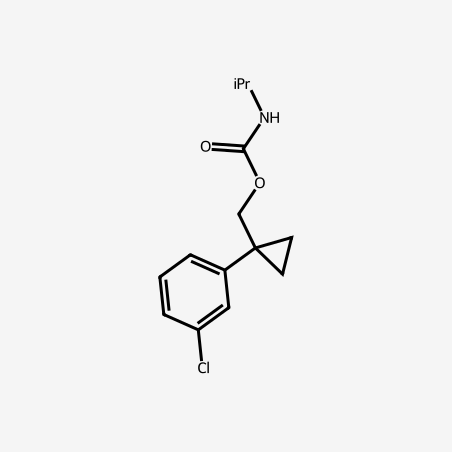 CC(C)NC(=O)OCC1(c2cccc(Cl)c2)CC1